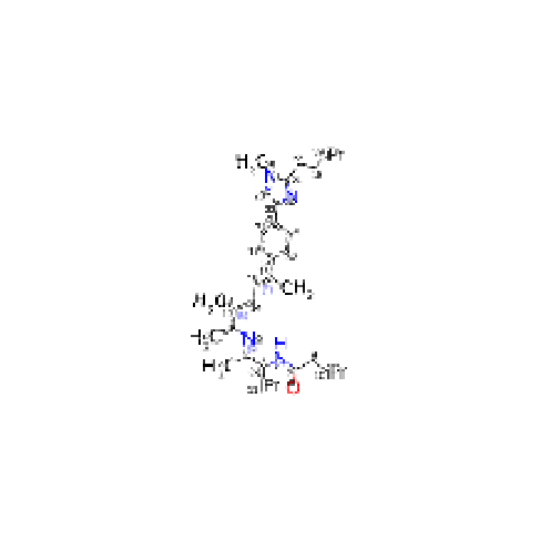 C=C(/N=C(\C)[C@@H](NC(=O)CC(C)C)C(C)C)/C(C)=C/C=C(\C)c1ccc(-c2cn(C)c(CCC(C)C)n2)cc1